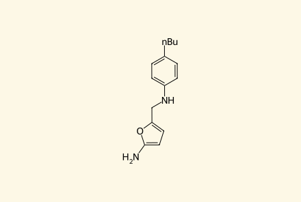 CCCCc1ccc(NCc2ccc(N)o2)cc1